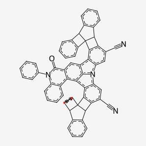 N#Cc1cc2c(c3c1C1c4ccccc4C4c5ccccc5C341)c1cc3c(=O)n(-c4ccccc4)c4ccccc4c3c3c4c5c(c(C#N)cc4n2c13)C1c2ccccc2C2c3ccccc3C521